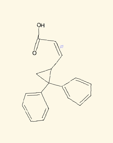 O=C(O)/C=C\C1CC1(c1ccccc1)c1ccccc1